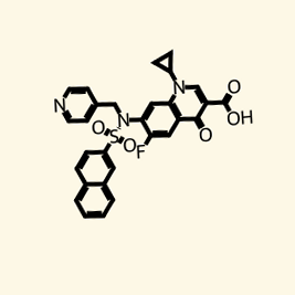 O=C(O)c1cn(C2CC2)c2cc(N(Cc3ccncc3)S(=O)(=O)c3ccc4ccccc4c3)c(F)cc2c1=O